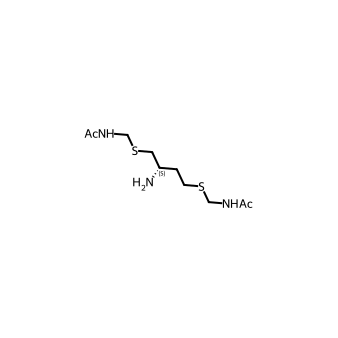 CC(=O)NCSCC[C@H](N)CSCNC(C)=O